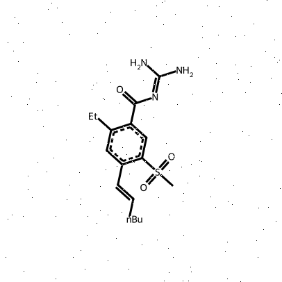 CCCC/C=C/c1cc(CC)c(C(=O)N=C(N)N)cc1S(C)(=O)=O